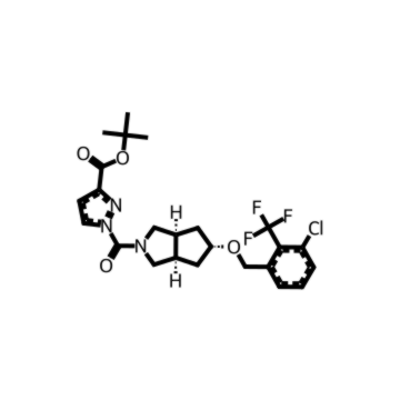 CC(C)(C)OC(=O)c1ccn(C(=O)N2C[C@H]3C[C@H](OCc4cccc(Cl)c4C(F)(F)F)C[C@H]3C2)n1